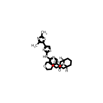 Cc1nc(C)c(-c2csc(Nc3ccc(C(=O)N4[C@@H]5CCC[C@H]4CN(CC4(O)CCOCC4)C5)cn3)n2)s1